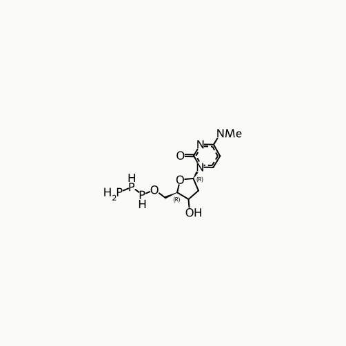 CNc1ccn([C@H]2CC(O)[C@@H](COPPP)O2)c(=O)n1